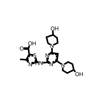 Cc1nc(Nc2nc(N3CCC(O)CC3)cc(N3CCC(O)CC3)n2)sc1C(=O)O